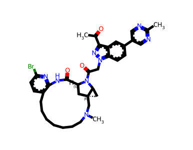 CC(=O)c1nn(CC(=O)N2C3C[C@]34C[C@H]2C(=O)Nc2nc(Br)ccc2CCCCCCCN(C)C4)c2ccc(-c3cnc(C)nc3)cc12